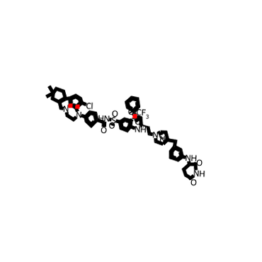 CC1(C)CCC(c2ccc(Cl)cc2)=C(CN2CCN(c3ccc(C(=O)NS(=O)(=O)c4ccc(N[C@H](CCN5CC6CCC5CN6Cc5cccc(NC6CCC(=O)NC6=O)c5)CSc5ccccc5)c(S(=O)(=O)C(F)(F)F)c4)cc3)CC2)C1